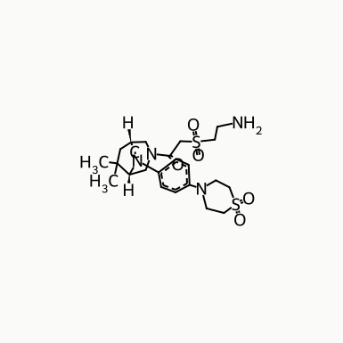 CC1(C)C[C@@H]2CN(C(=O)CS(=O)(=O)CCN)C[C@H]1N(c1ccc(N3CCS(=O)(=O)CC3)cc1)C2